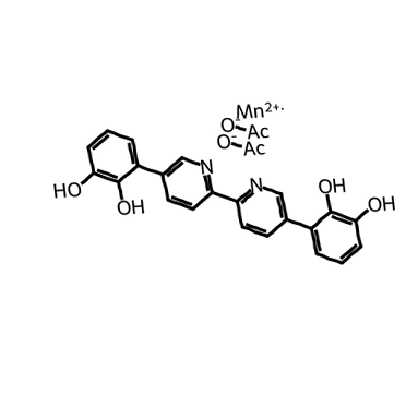 CC(=O)[O-].CC(=O)[O-].Oc1cccc(-c2ccc(-c3ccc(-c4cccc(O)c4O)cn3)nc2)c1O.[Mn+2]